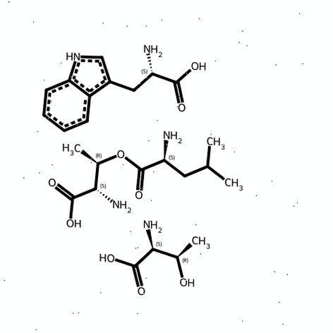 CC(C)C[C@H](N)C(=O)O[C@H](C)[C@H](N)C(=O)O.C[C@@H](O)[C@H](N)C(=O)O.N[C@@H](Cc1c[nH]c2ccccc12)C(=O)O